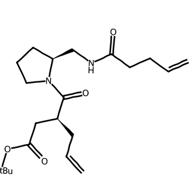 C=CCCC(=O)NC[C@@H]1CCCN1C(=O)[C@@H](CC=C)CC(=O)OC(C)(C)C